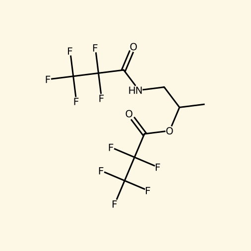 CC(CNC(=O)C(F)(F)C(F)(F)F)OC(=O)C(F)(F)C(F)(F)F